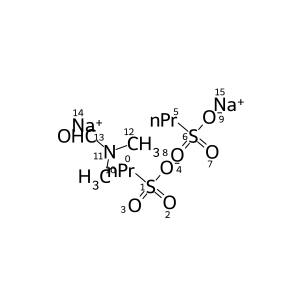 CCCS(=O)(=O)[O-].CCCS(=O)(=O)[O-].CN(C)C=O.[Na+].[Na+]